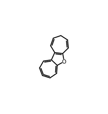 C1=CC=c2oc3c(c2=CC=1)C=CCC=C3